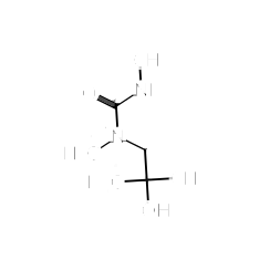 CNC(=O)N(C)CC(C)(C)O